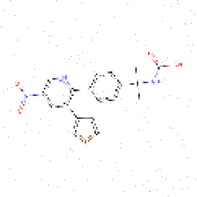 CC(C)(NC(=O)O)c1ccc(-c2ncc([N+](=O)[O-])cc2-c2ccsc2)cc1